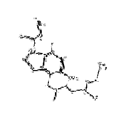 CCN(CCN(C)Cc1c(OC)cc(C)c2c1ccn2C(=O)OC(C)(C)C)CCC(F)(F)F